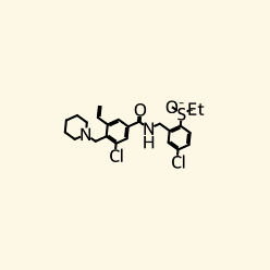 C=Cc1cc(C(=O)NCc2cc(Cl)ccc2[S+]([O-])CC)cc(Cl)c1CN1CCCCC1